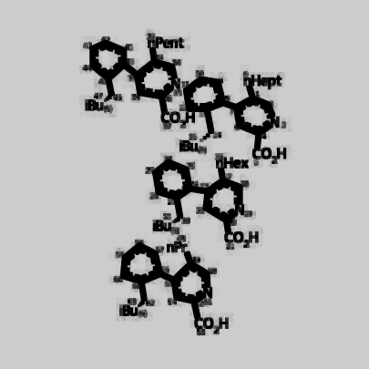 CCCCCCCc1cnc(C(=O)O)cc1-c1ccccc1C[C@@H](C)CC.CCCCCCc1cnc(C(=O)O)cc1-c1ccccc1C[C@@H](C)CC.CCCCCc1cnc(C(=O)O)cc1-c1ccccc1C[C@@H](C)CC.CCCc1cnc(C(=O)O)cc1-c1ccccc1C[C@@H](C)CC